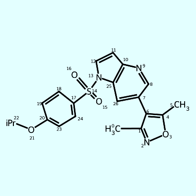 Cc1noc(C)c1-c1cnc2ccn(S(=O)(=O)c3ccc(OC(C)C)cc3)c2c1